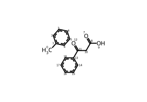 Cc1ccccc1.O=C(O)CC(=O)c1ccccc1